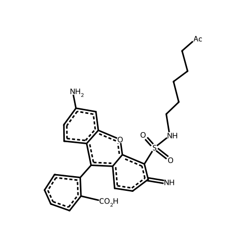 CC(=O)CCCCCNS(=O)(=O)c1c2oc3cc(N)ccc3c(-c3ccccc3C(=O)O)c-2ccc1=N